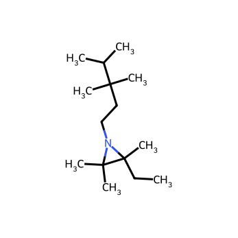 CCC1(C)N(CCC(C)(C)C(C)C)C1(C)C